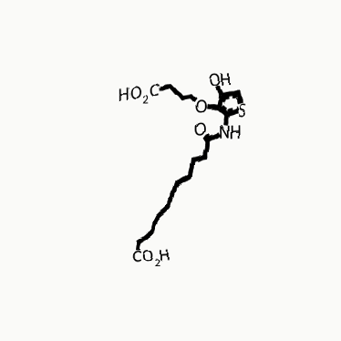 O=C(O)CCCCCCCCC(=O)Nc1scc(O)c1OCCCC(=O)O